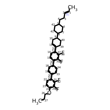 C/C=C/CCC1CCC(C2CC=C(c3ccc(-c4ccc(-c5ccc(OCCC)c(F)c5F)cc4)c(F)c3F)CC2)CC1